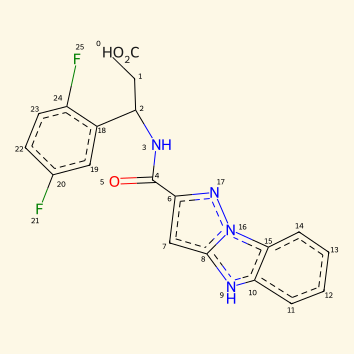 O=C(O)CC(NC(=O)c1cc2[nH]c3ccccc3n2n1)c1cc(F)ccc1F